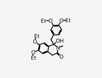 CCOc1ccc(CC2(O)c3cc(OCC)c(OCC)cc3CC(=O)N2C)cc1OCC